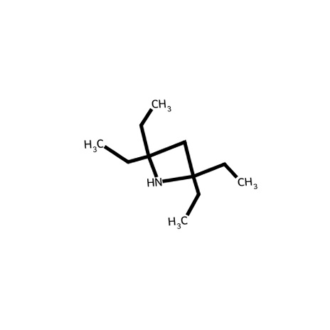 CCC1(CC)CC(CC)(CC)N1